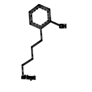 CCCCCCCCCCCc1ccccc1O